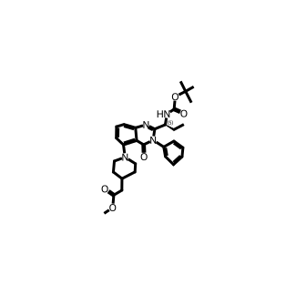 CC[C@H](NC(=O)OC(C)(C)C)c1nc2cccc(N3CCC(CC(=O)OC)CC3)c2c(=O)n1-c1ccccc1